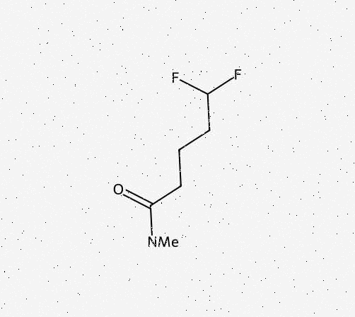 [CH2]NC(=O)CCCC(F)F